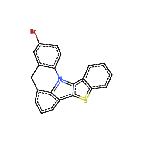 Brc1ccc2c(c1)Cc1cccc3c4sc5ccccc5c4n-2c13